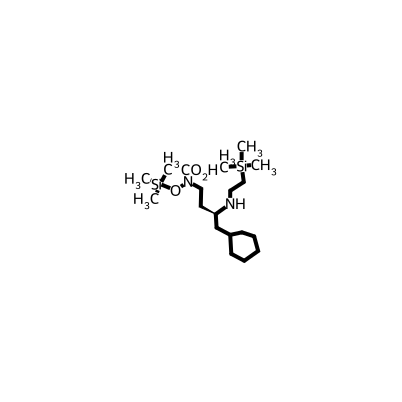 C[Si](C)(C)CCN[C@H](CCN(O[Si](C)(C)C)C(=O)O)CC1CCCCC1